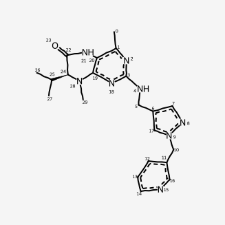 Cc1nc(NCc2cnn(Cc3cccnc3)c2)nc2c1NC(=O)[C@H](C(C)C)N2C